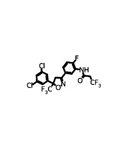 O=C(CC(F)(F)F)Nc1cc(C2=NOC(c3cc(Cl)cc(Cl)c3)(C(F)(F)F)C2)ccc1F